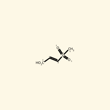 CS(=O)(=O)C=CC(=O)O